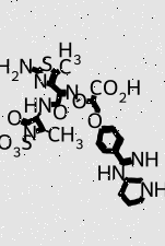 Cc1sc(N)nc1C(=NOC(COc1ccc(C(=N)NC2CCCNC2)cc1)C(=O)O)C(=O)N[C@@H]1C(=O)N(S(=O)(=O)O)[C@H]1C